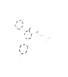 O=C(NC[C@H](O)CO)c1cc(-c2ccc(Cl)cc2)nn(-c2cccc(F)c2)c1=O